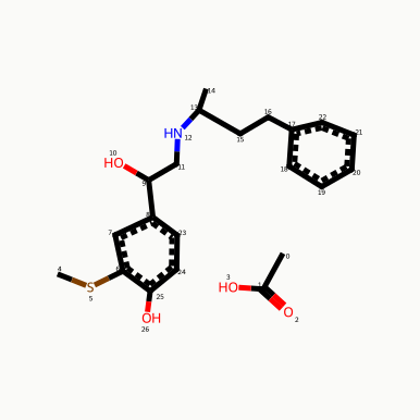 CC(=O)O.CSc1cc(C(O)CNC(C)CCc2ccccc2)ccc1O